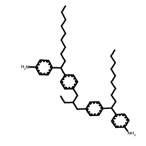 CCCCCCCCCC(c1ccc(N)cc1)c1ccc(CC(CC)Cc2ccc(C(CCCCCCCCC)c3ccc(N)cc3)cc2)cc1